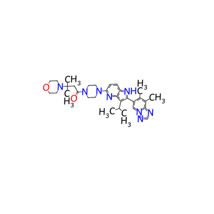 Cc1c(-c2[nH]c3ccc(N4CCN(C(=O)CC(C)(C)N5CCOCC5)CC4)nc3c2C(C)C)cn2ncnc2c1C